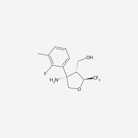 Cc1cccc([C@]2(N)CO[C@H](C(F)(F)F)[C@H]2CO)c1F